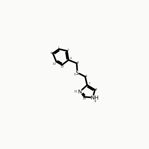 c1ccc(CSCc2c[nH]cn2)cc1